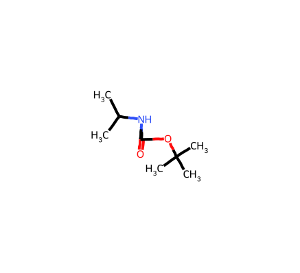 C[C](C)NC(=O)OC(C)(C)C